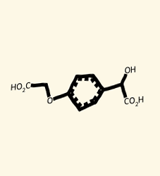 O=C(O)COc1ccc(C(O)C(=O)O)cc1